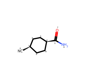 N#C[C@H]1CC[C@@H](C(N)=O)CC1